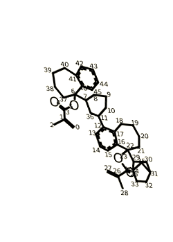 C=C(C)C(=O)OC1(C2CCCC(c3cccc4c3CCCCC4(OC(=O)C(=C)C)C3CC4CCC3C4)C2)CCCCc2ccccc21